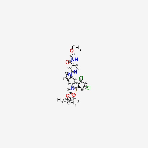 COCCNC(=O)c1ccnc(-n2ccc3cc(N(CC(=O)OC(C)(C)C)Sc4cc(Cl)cc(Cl)c4)ccc32)c1